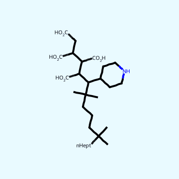 CCCCCCCC(C)(C)CCCC(C)(C)C(C1CCNCC1)C(C(=O)O)C(C(=O)O)C(CC(=O)O)C(=O)O